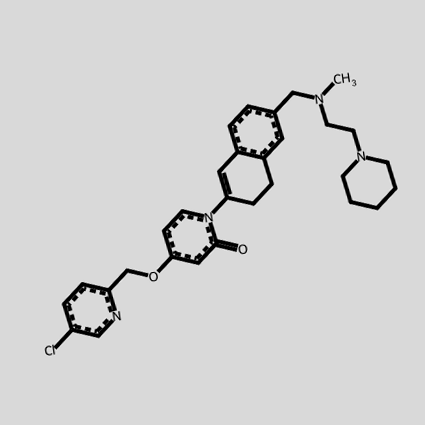 CN(CCN1CCCCC1)Cc1ccc2c(c1)CCC(n1ccc(OCc3ccc(Cl)cn3)cc1=O)=C2